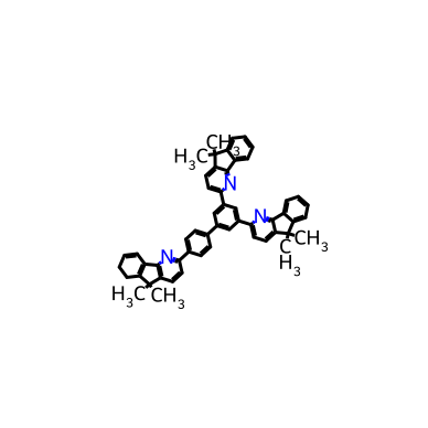 CC1(C)C2=C(C=CCC2)c2nc(-c3ccc(-c4cc(-c5ccc6c(n5)-c5ccccc5C6(C)C)cc(-c5ccc6c(n5)-c5ccccc5C6(C)C)c4)cc3)ccc21